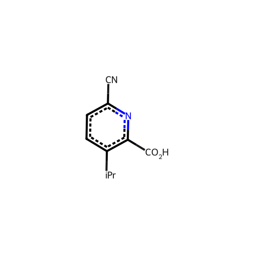 CC(C)c1ccc(C#N)nc1C(=O)O